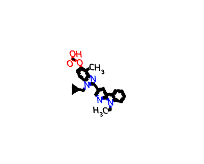 CCn1c2ccccc2c2cc(-c3nc4c(C)c(OC(=O)O)ccc4n3CC3CC3)cnc21